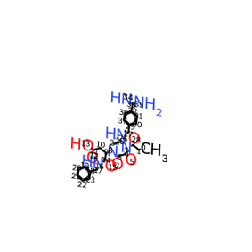 CCCN1C(=O)C(=O)N(C(CC(=O)O)C(=O)NCc2ccccc2)CC1NC(=O)c1ccc(C(=N)N)cc1